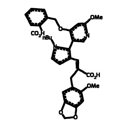 CCCCn1ccc(/C=C(\Cc2cc3c(cc2OC)OCO3)C(=O)O)c1-c1cnc(OC)cc1OCc1ccccc1C(=O)O